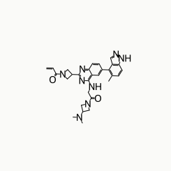 C=CC(=O)N1CC(c2nc(NCC(=O)N3CC(N(C)C)C3)c3cc(-c4c(C)ccc5[nH]ncc45)ccc3n2)C1